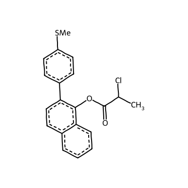 CSc1ccc(-c2ccc3ccccc3c2OC(=O)C(C)Cl)cc1